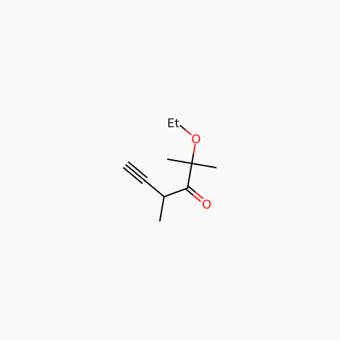 C#CC(C)C(=O)C(C)(C)OCC